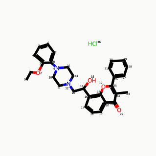 CCOc1ccccc1N1CCN(CC(O)c2cccc3c(=O)c(C)c(-c4ccccc4)oc23)CC1.Cl